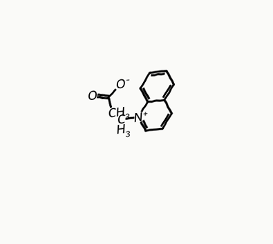 CC(=O)[O-].C[n+]1cccc2ccccc21